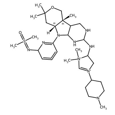 CN1CCC([N+]2=C[N+](C)(C)C(NC3NCC4C(N3)N(C3=NC(N=S(C)(C)=O)C=C=C3)[C@@H]3CC(C)(C)OC[C@]43C)C2)CC1